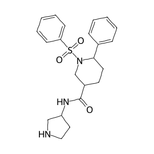 O=C(NC1CCNC1)C1CCC(c2ccccc2)N(S(=O)(=O)c2ccccc2)C1